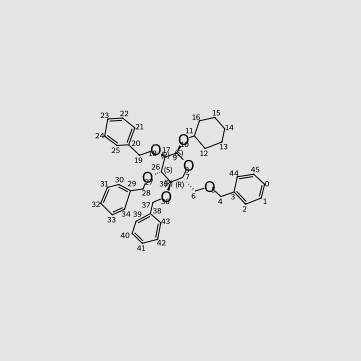 c1ccc(COC[C@H]2O[C@H](OC3CCCCC3)[C@H](OCc3ccccc3)[C@@H](OCc3ccccc3)[C@@H]2OCc2ccccc2)cc1